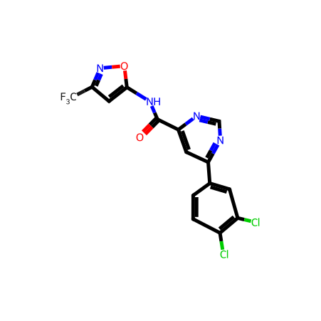 O=C(Nc1cc(C(F)(F)F)no1)c1cc(-c2ccc(Cl)c(Cl)c2)ncn1